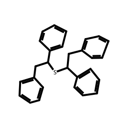 c1ccc(CC(SC(Cc2ccccc2)c2ccccc2)c2ccccc2)cc1